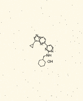 O[C@@H]1CCCC[C@H]1CNc1nccc(-c2ccn3ncc(C4CC4)c3n2)n1